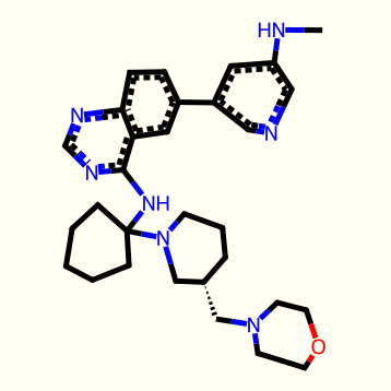 CNc1cncc(-c2ccc3ncnc(NC4(N5CCC[C@H](CN6CCOCC6)C5)CCCCC4)c3c2)c1